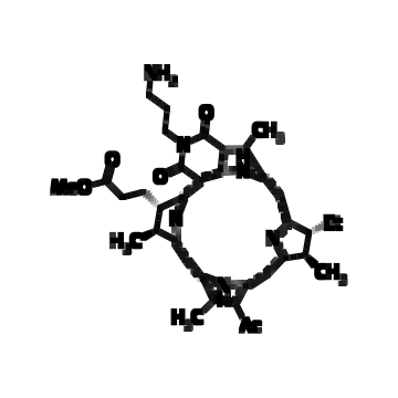 CC[C@H]1c2cc3[nH]c4c(c5nc(cc6[nH]c(cc(n2)[C@@H]1C)c(C(C)=O)c6C)[C@@H](C)[C@@H]5CCC(=O)OC)C(=O)N(CCCN)C(=O)c4c3C